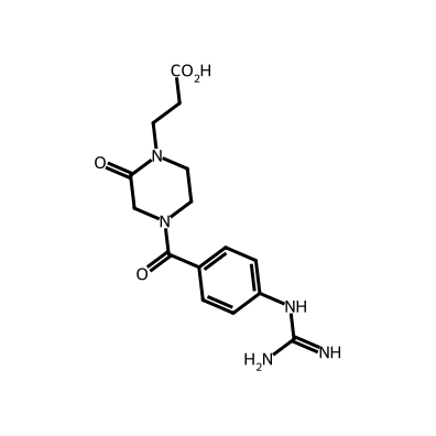 N=C(N)Nc1ccc(C(=O)N2CCN(CCC(=O)O)C(=O)C2)cc1